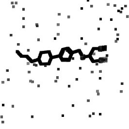 CCCCC1CCC(c2ccc(COC(CO)CO)cc2)CC1